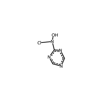 ON(Cl)c1ncncn1